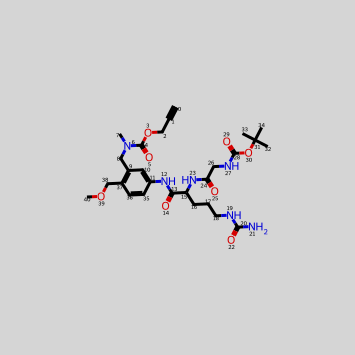 C#CCOC(=O)N(C)Cc1cc(NC(=O)C(CCCNC(N)=O)NC(=O)CNC(=O)OC(C)(C)C)ccc1COC